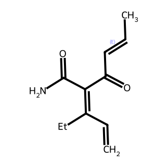 C=CC(CC)=C(C(N)=O)C(=O)/C=C/C